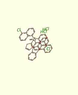 Cl.Cl.[CH2]=[Zr]([C]1=CC=CC1)([c]1cccc2c(Cl)cccc12)([c]1cccc2c(Cl)cccc12)[c]1cccc2c1c1c(c3ccccc32)-c2ccccc2C1